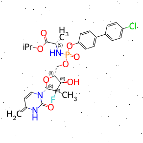 C=C1C=CN([C@@H]2O[C@H](COP(=O)(N[C@@H](C)C(=O)OC(C)C)Oc3ccc(-c4ccc(Cl)cc4)cc3)[C@@H](O)[C@@]2(C)F)C(=O)N1